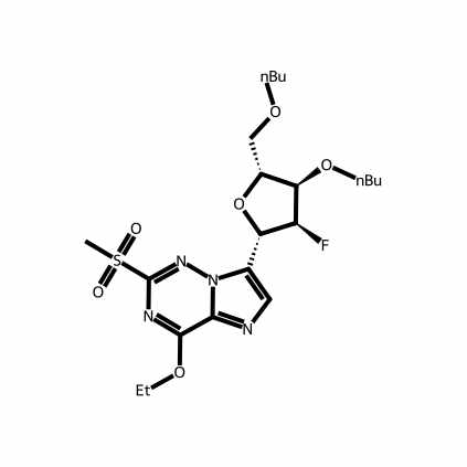 CCCCOC[C@H]1O[C@@H](c2cnc3c(OCC)nc(S(C)(=O)=O)nn23)[C@H](F)[C@@H]1OCCCC